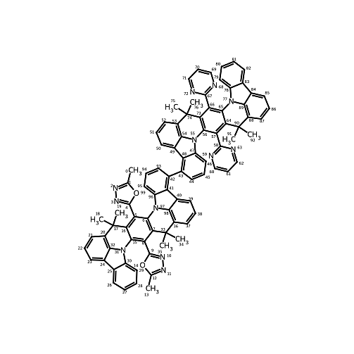 Cc1nnc(-c2c3c(c(-c4nnc(C)o4)c4c2C(C)(C)c2cccc5c6ccccc6n-4c25)C(C)(C)c2cccc4c5c(-c6cccc7c6c6cccc8c6n7-c6c(-c7ncccn7)c7c(c(-c9ncccn9)c6C8(C)C)-n6c8ccccc8c8cccc(c86)C7(C)C)cccc5n-3c24)o1